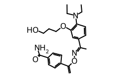 C=C(O/N=C(\C)c1ccc(N(CC)CC)c(OCCCO)c1)c1ccc(C(N)=O)cc1